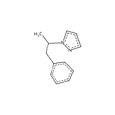 CC(Cc1ccccc1)n1c[c]cn1